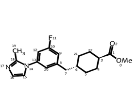 COC(=O)[C@H]1CC[C@H](Cc2cc(F)cc(-n3ccnc3C)c2)CC1